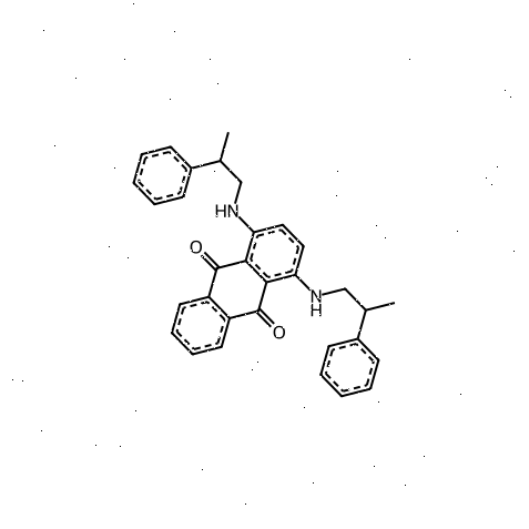 CC(CNc1ccc(NCC(C)c2ccccc2)c2c1C(=O)c1ccccc1C2=O)c1ccccc1